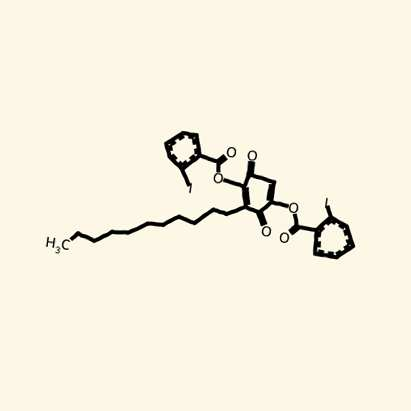 CCCCCCCCCCCC1=C(OC(=O)c2ccccc2I)C(=O)C=C(OC(=O)c2ccccc2I)C1=O